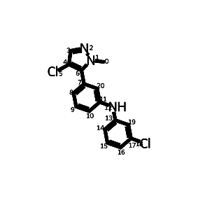 Cn1ncc(Cl)c1-c1cccc(Nc2cccc(Cl)c2)c1